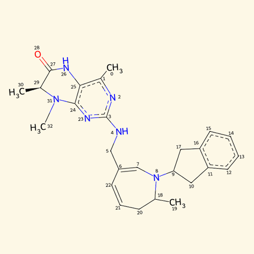 Cc1nc(NCC2=CN(C3Cc4ccccc4C3)C(C)CC=C2)nc2c1NC(=O)[C@H](C)N2C